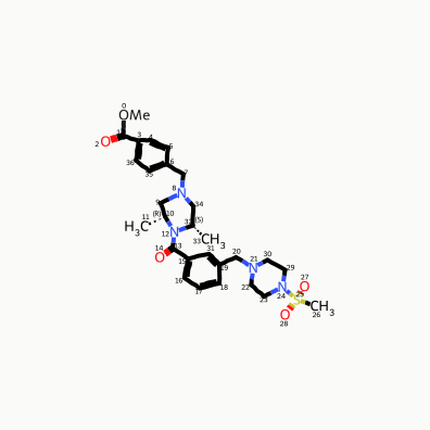 COC(=O)c1ccc(CN2C[C@@H](C)N(C(=O)c3cccc(CN4CCN(S(C)(=O)=O)CC4)c3)[C@@H](C)C2)cc1